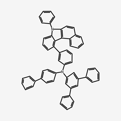 c1ccc(-c2ccc(N(c3cc(-c4ccccc4)cc(-c4ccccc4)c3)c3cccc(-c4cccc5c4c4c6ccccc6ccc4n5-c4ccccc4)c3)cc2)cc1